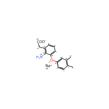 Cc1ccc(Oc2cccc(CC(=O)[O-])c2N)cc1C.[Na+]